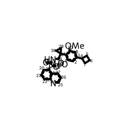 COc1cc(C2CCC2)cc(OC)c1C1(C(=O)NS(=O)(=O)c2cccc3ncccc23)CC1